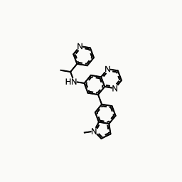 CC(Nc1cc(-c2ccc3ccn(C)c3c2)c2nccnc2c1)c1cccnc1